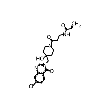 C=CC(=O)NCCC(=O)N1CCC(O)(Cn2cnc3cc(Cl)ccc3c2=O)CC1